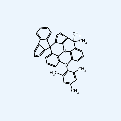 Cc1cc(C)c(B2c3cccc4c3N3c5c2cccc5C2(c5ccccc5-c5ccccc52)c2cccc(c23)C4(C)C)c(C)c1